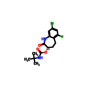 CC(C)(C)NC(=O)O[C@H]1CCc2c(F)cc(Br)cc2NC1=O